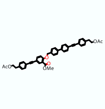 COC(=O)c1cc(C#Cc2ccc(CCOC(C)=O)cc2)ccc1OCc1ccc(-c2ccc(C#Cc3ccc(CCOC(C)=O)cc3)cc2)cc1